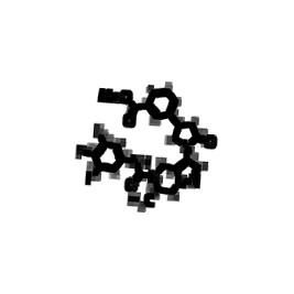 COC(=O)c1cccc(C2CC(=O)N(c3cnn4c3CN(C(=O)Nc3cc(F)c(F)c(F)c3)[C@@H](C)C4)C2)c1